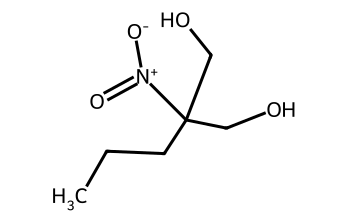 CCCC(CO)(CO)[N+](=O)[O-]